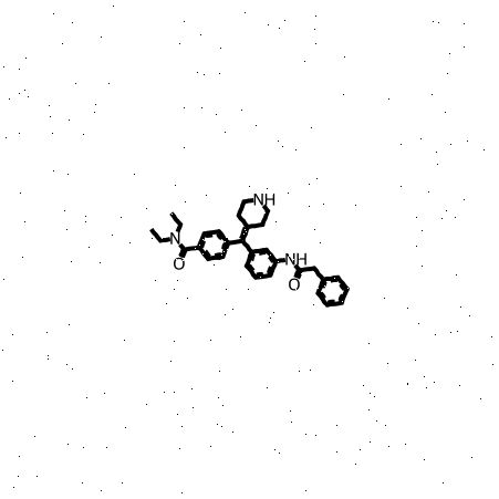 CCN(CC)C(=O)c1ccc(C(=C2CCNCC2)c2cccc(NC(=O)Cc3ccccc3)c2)cc1